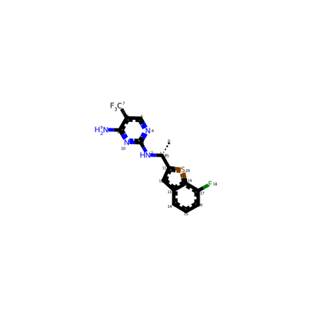 C[C@@H](Nc1ncc(C(F)(F)F)c(N)n1)c1cc2cccc(F)c2s1